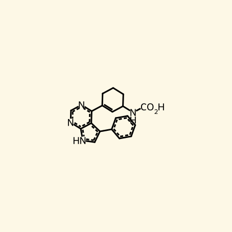 O=C(O)NC1C=C(c2ncnc3[nH]cc(-c4ccccc4)c23)CCC1